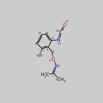 CC(C)=NOCc1c(Br)cccc1N=C=O